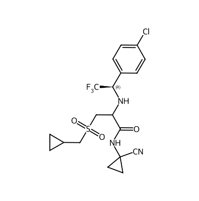 N#CC1(NC(=O)C(CS(=O)(=O)CC2CC2)N[C@H](c2ccc(Cl)cc2)C(F)(F)F)CC1